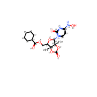 O=C1O[C@@H]2[C@H](O1)C(COC(=O)C1CCCCC1)O[C@H]2n1ccc(NO)nc1=O